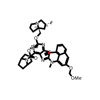 C#Cc1cccc2cc(OCOC)cc(N(C)c3nc4c(N5CC6CCC(C5)N6C(=O)OC(C)(C)C)nc(OC[C@@]56CCCN5C[C@H](F)C6)nc4s3)c12